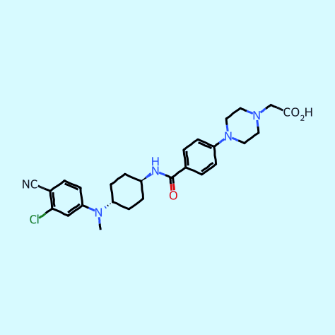 CN(c1ccc(C#N)c(Cl)c1)[C@H]1CC[C@H](NC(=O)c2ccc(N3CCN(CC(=O)O)CC3)cc2)CC1